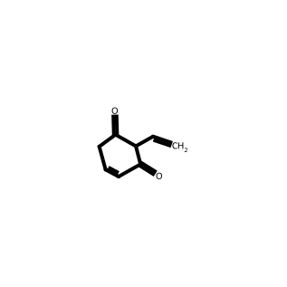 C=CC1C(=O)C=CCC1=O